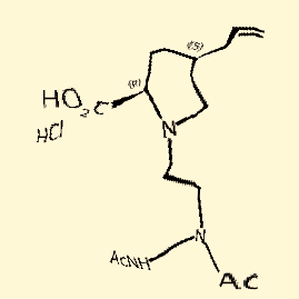 C=C[C@@H]1C[C@H](C(=O)O)N(CCN(NC(C)=O)C(C)=O)C1.Cl